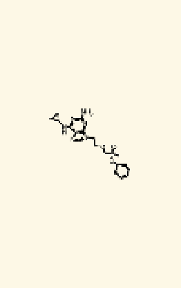 CP(=O)(COCCn1cnc2c(NC3CC3)nc(N)nc21)Oc1ccccc1